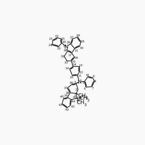 CC12CC(N(c3ccccc3)c3ccc(C4=Cc5c(n(-c6ccccc6)c6ccccc56)CC4)cc3)=CC=C1c1ccccc1C2(C)C